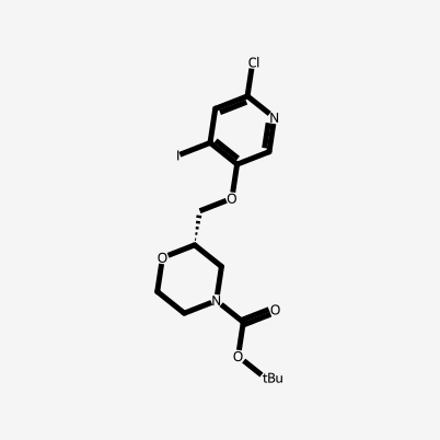 CC(C)(C)OC(=O)N1CCO[C@H](COc2cnc(Cl)cc2I)C1